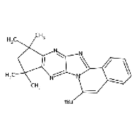 CC(C)(C)c1cc2ccccc2c2nc3nc4c(nc3n12)C(C)(C)CC4(C)C